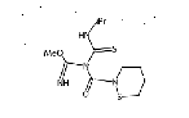 COC(=N)N(C(=O)N1CCCCS1)C(=S)NC(C)C